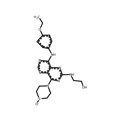 CCOc1ccc(Nc2ncnc3c(N4CC[S+]([O-])CC4)nc(NCCO)nc23)cc1